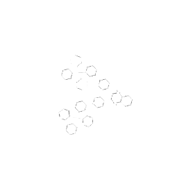 C1=CC2=C(CC1)C1(C3=C(C=CCC3)c3ccc(-c4ccc(-c5nc6ccccc6nc5-c5ccc(-c6ccc7c(c6)C6(c8ccccc8-c8ccccc86)c6ccccc6-7)cc5)cc4)cc31)c1ccccc12